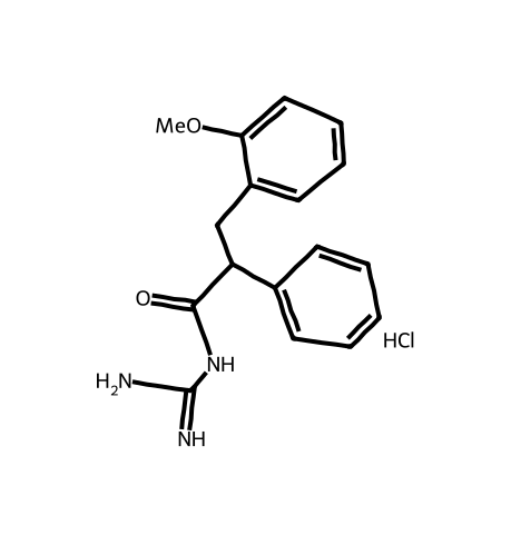 COc1ccccc1CC(C(=O)NC(=N)N)c1ccccc1.Cl